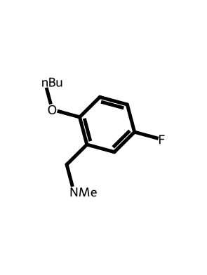 C[CH]CCOc1ccc(F)cc1CNC